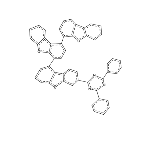 c1ccc(-c2nc(-c3ccccc3)nc(-c3ccc4c(c3)sc3cccc(-c5ccc(-c6cccc7c6oc6ccccc67)c6c5oc5ccccc56)c34)n2)cc1